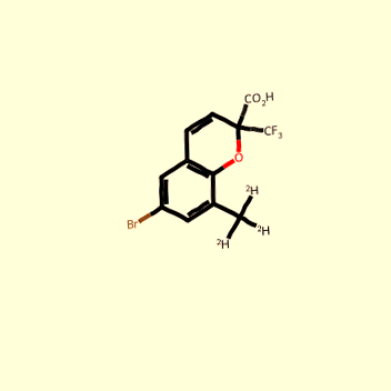 [2H]C([2H])([2H])c1cc(Br)cc2c1OC(C(=O)O)(C(F)(F)F)C=C2